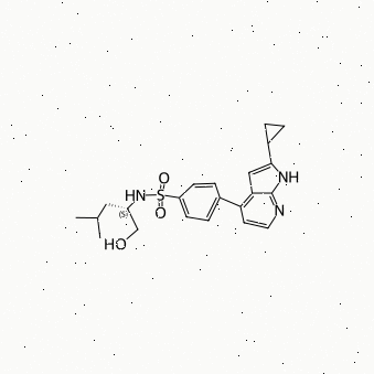 CC(C)C[C@@H](CO)NS(=O)(=O)c1ccc(-c2ccnc3[nH]c(C4CC4)cc23)cc1